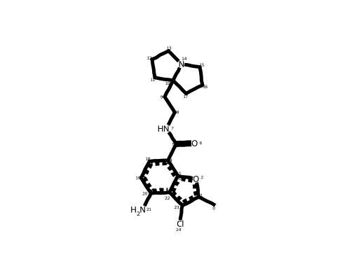 Cc1oc2c(C(=O)NCCC34CCCN3CCC4)ccc(N)c2c1Cl